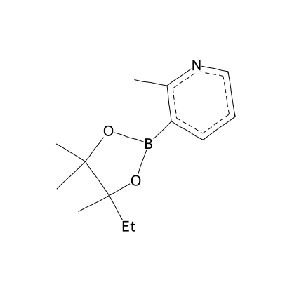 CCC1(C)OB(c2cccnc2C)OC1(C)C